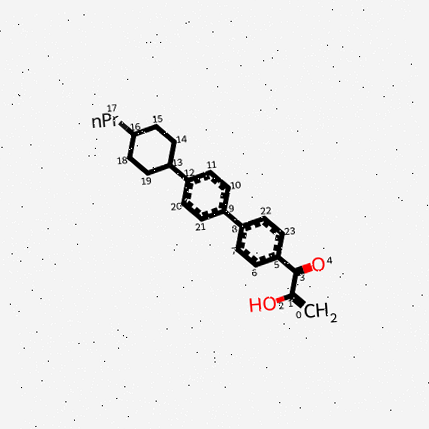 C=C(O)C(=O)c1ccc(-c2ccc(C3CCC(CCC)CC3)cc2)cc1